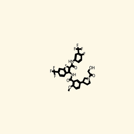 COc1ccc(C2CCN(C(=O)CO)C2)cc1C(=O)Nc1c(C(=O)Nc2ccc(F)c(C(F)(F)F)c2)sc2cc(C(F)(F)F)ccc12